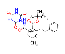 CC(C)C[C@@H](C(=O)Nn1c(=O)[nH]c(=O)[nH]c1=O)[C@H](CCCc1ccccc1)C(=O)OC(C)(C)C